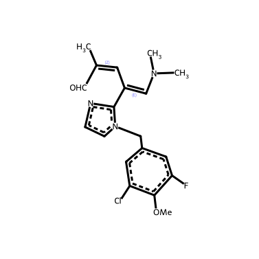 COc1c(F)cc(Cn2ccnc2C(/C=C(/C)C=O)=C/N(C)C)cc1Cl